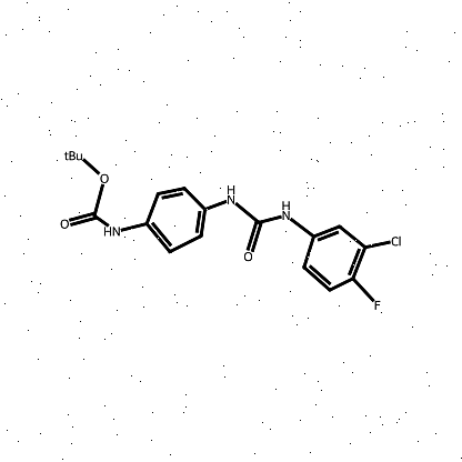 CC(C)(C)OC(=O)Nc1ccc(NC(=O)Nc2ccc(F)c(Cl)c2)cc1